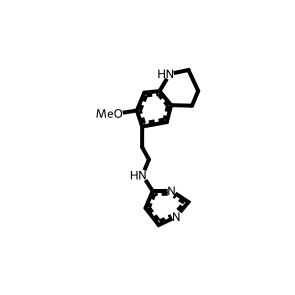 COc1cc2c(cc1CCNc1ccncn1)CCCN2